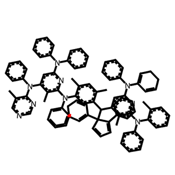 Cc1cc(C)c(N(C2=CC=C=C=C2)c2nc(N(c3ccccc3)c3ccccc3)cc(N(c3ccccc3)c3ncncc3C)c2C)cc1C(c1cc(N(C2=CCCC=C2)c2ccccc2)nc(N(c2ccccc2)c2ccccc2C)c1C)C1(C2=CCCC=C2)C=CC=C1c1ccccc1